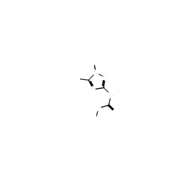 CCCCCc1nc(NC(=O)OC(C)(C)C)nn1C